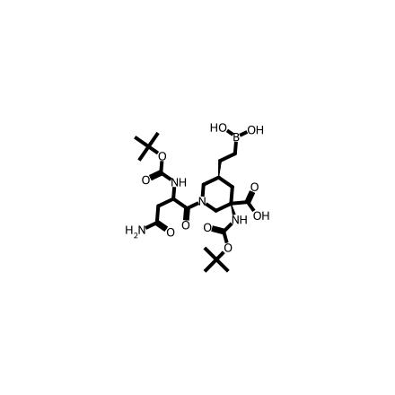 CC(C)(C)OC(=O)NC(CC(N)=O)C(=O)N1C[C@@H](CCB(O)O)C[C@](NC(=O)OC(C)(C)C)(C(=O)O)C1